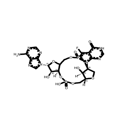 Nc1ncnc2c1ncn2[C@@H]1OC2COP(=O)(O)O[C@]3(n4cc(F)c5c(=O)[nH]cnc54)CO[C@H](COP(=O)(O)O[C@H]2[C@H]1O)[C@H]3O